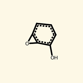 Oc1cccc2c1O2